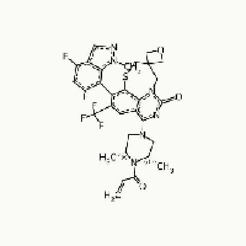 C=CC(=O)N1[C@H](C)CN(c2nc(=O)n3c4c(c(-c5c(F)cc(F)c6cnn(C)c56)c(C(F)(F)F)cc24)SCC2(COC2)C3)C[C@@H]1C